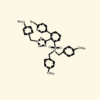 COc1ccc(CN(Cc2ccc(OC)cc2)S(=O)(=O)c2cccc(-c3ccc(Br)nc3)c2-c2nnn(Cc3ccc(OC)cc3)n2)cc1